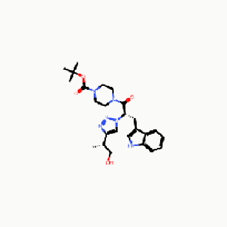 C[C@@H](CO)c1cn([C@@H](Cc2c[nH]c3ccccc23)C(=O)N2CCN(C(=O)OC(C)(C)C)CC2)nn1